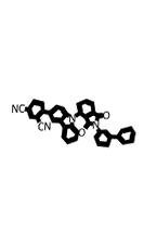 N#Cc1ccc(-c2ccc3c(c2)c2ccccc2n3-c2cccc3c2C(=O)N(c2cccc(-c4ccccc4)c2)C3=O)c(C#N)c1